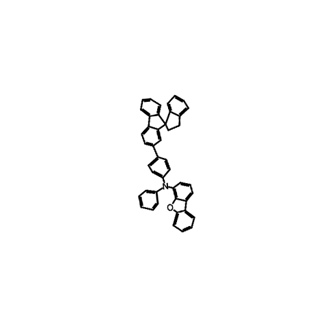 c1ccc(N(c2ccc(-c3ccc4c(c3)C3(CCc5ccccc53)c3ccccc3-4)cc2)c2cccc3c2oc2ccccc23)cc1